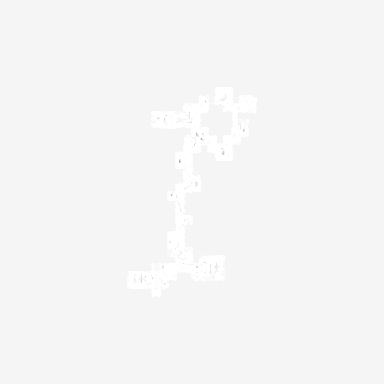 CC(=CCCCCN1CCCCCC1=O)C(=O)O